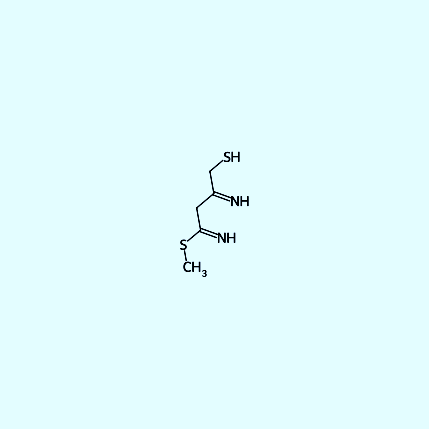 CSC(=N)CC(=N)CS